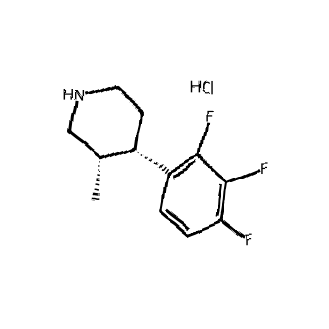 C[C@@H]1CNCC[C@@H]1c1ccc(F)c(F)c1F.Cl